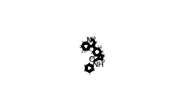 O=C(Nc1ccccc1)C1CCC12CCC(c1ccnc3ccccc13)CC2